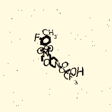 Cc1ccc(S(=O)(=O)N2CCOC3(CCN(C(=O)O[C@H](CO)C(F)(F)F)CC3)C2)cc1F